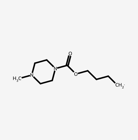 [CH2]CCCOC(=O)N1CCN(C)CC1